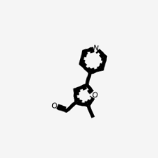 Cc1oc(-c2ccncc2)cc1C=O